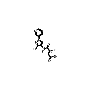 CC[C@@H](CC(=O)S)C(=O)N(CC)c1cn(-c2cccnc2)nc1Cl